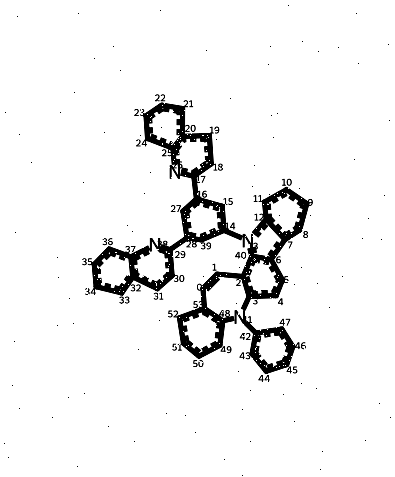 C1=Cc2c(ccc3c4ccccc4n(-c4cc(-c5ccc6ccccc6n5)cc(-c5ccc6ccccc6n5)c4)c23)N(c2ccccc2)c2ccccc21